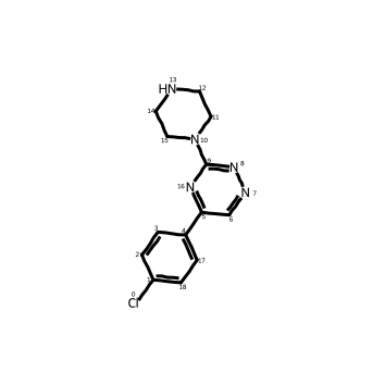 Clc1ccc(-c2cnnc(N3CCNCC3)n2)cc1